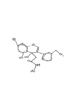 CCc1cccc(C2=COc3cc(O)cc(O)c3C2(O)CC(=O)NO)c1